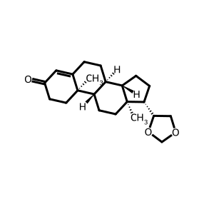 C[C@]12CC[C@H]3[C@@H](CCC4=CC(=O)CC[C@@]43C)[C@@H]1CC[C@@H]2C1COCO1